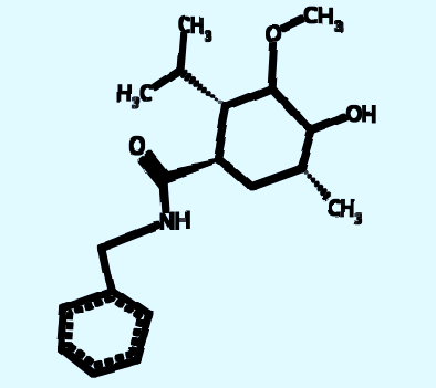 COC1C(O)[C@H](C)C[C@@H](C(=O)NCc2ccccc2)[C@@H]1C(C)C